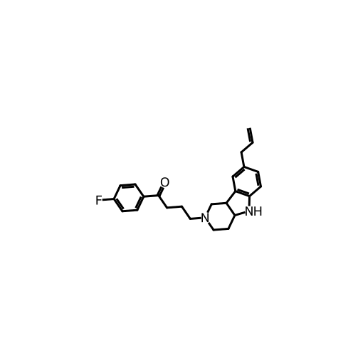 C=CCc1ccc2c(c1)C1CN(CCCC(=O)c3ccc(F)cc3)CCC1N2